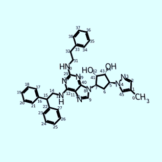 Cc1cnn([C@H]2C[C@@H](n3cnc4c(NCC(c5ccccc5)c5ccccc5)nc(NCCc5ccccc5)nc43)[C@H](O)[C@@H]2O)c1